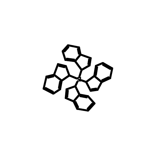 C1=CC([Si](C2C=Cc3ccccc32)(C2C=Cc3ccccc32)C2C=Cc3ccccc32)c2ccccc21